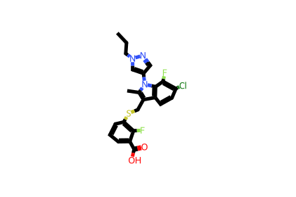 CCCn1cc(-n2c(C)c(CSc3cccc(C(=O)O)c3F)c3ccc(Cl)c(F)c32)cn1